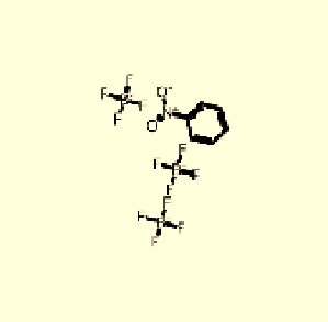 F[B-](F)(F)F.F[B-](F)(F)F.F[B-](F)(F)F.O=[N+]([O-])c1ccccc1